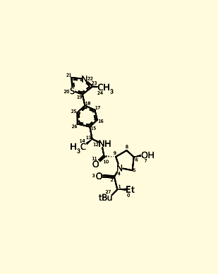 CC[C@H](C(=O)N1C[C@H](O)C[C@H]1C(=O)N[C@@H](C)c1ccc(-c2scnc2C)cc1)C(C)(C)C